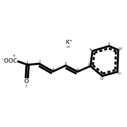 O=C([O-])C(=O)C=CC=Cc1ccccc1.[K+]